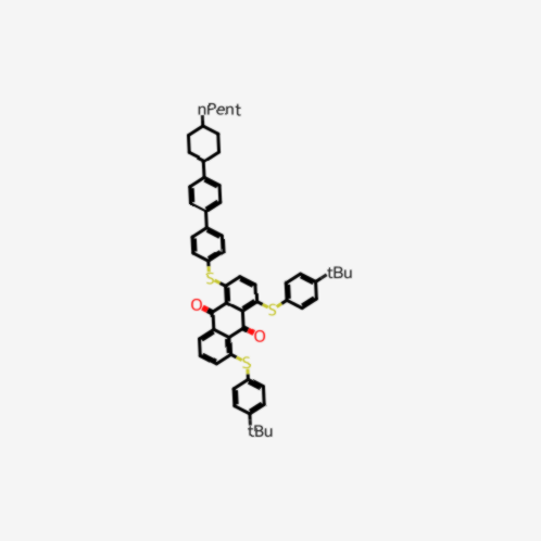 CCCCCC1CCC(c2ccc(-c3ccc(Sc4ccc(Sc5ccc(C(C)(C)C)cc5)c5c4C(=O)c4cccc(Sc6ccc(C(C)(C)C)cc6)c4C5=O)cc3)cc2)CC1